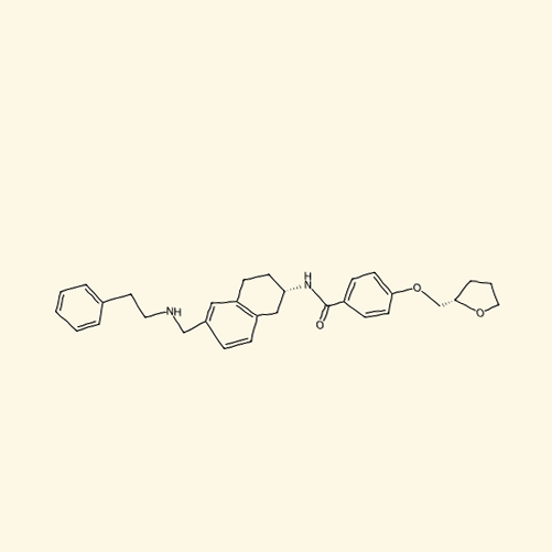 O=C(N[C@H]1CCc2cc(CNCCc3ccccc3)ccc2C1)c1ccc(OC[C@@H]2CCCO2)cc1